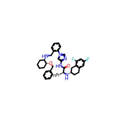 CCC[C@H](N[C@H]1CCc2cc(F)cc(F)c2C1)C(=O)Nc1cn(-c2ccccc2CN[C@@H]2CCCC[C@H]2OCc2ccccc2)cn1